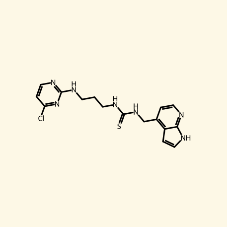 S=C(NCCCNc1nccc(Cl)n1)NCc1ccnc2[nH]ccc12